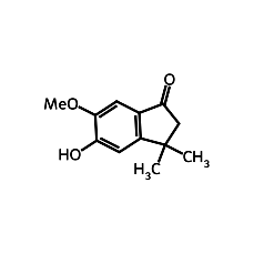 COc1cc2c(cc1O)C(C)(C)CC2=O